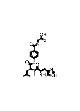 CC(C)C[C@H](NC(=O)[C@@H](N)Cc1c[nH]cn1)C(=O)Oc1ccc(C(=O)NCC(=O)O)cc1